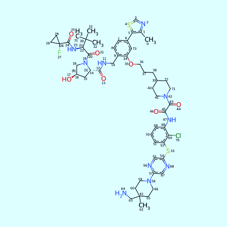 Cc1ncsc1-c1ccc(CNC(=O)[C@@H]2C[C@@H](O)CN2C(=O)[C@@H](NC(=O)C2(F)CC2)C(C)(C)C)c(OCCCC2CCN(C(=O)C(=O)Nc3cccc(Sc4cnc(N5CCC(C)(CN)CC5)cn4)c3Cl)CC2)c1